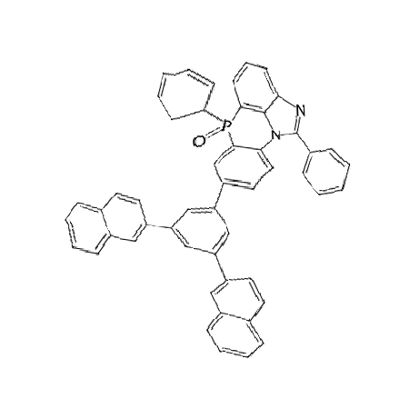 O=P1(C2C=CC=CC2)c2cc(-c3cc(-c4ccc5ccccc5c4)cc(-c4ccc5ccccc5c4)c3)ccc2-n2c(-c3ccccc3)nc3cccc1c32